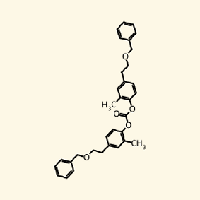 Cc1cc(CCOCc2ccccc2)ccc1OC(=O)Oc1ccc(CCOCc2ccccc2)cc1C